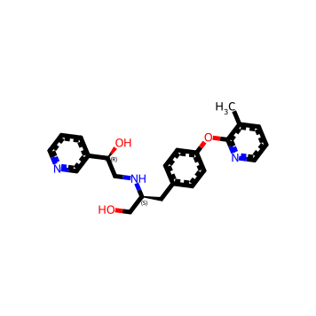 Cc1cccnc1Oc1ccc(C[C@@H](CO)NC[C@H](O)c2cccnc2)cc1